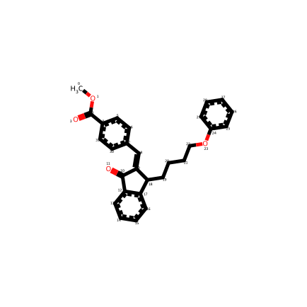 COC(=O)c1ccc(C=C2C(=O)c3ccccc3C2CCCCOc2ccccc2)cc1